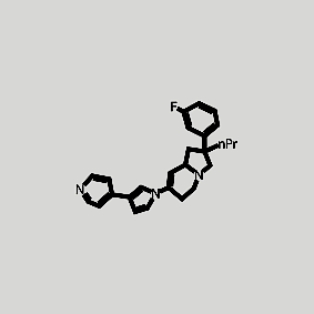 CCCC1(c2cccc(F)c2)CC2C=C(n3ccc(-c4ccncc4)c3)CCN2C1